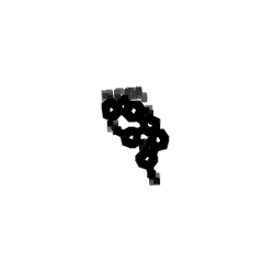 CC1(C)c2ccccc2-c2cc3c(cc21)sc1cccc(-c2cc(C#N)ccc2-n2c4ccccc4c4cc(C#N)ccc42)c13